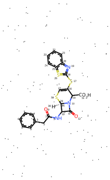 O=C(Cc1ccccc1)NC1C(=O)N2C(C(=O)O)C(Sc3nc4ccccc4s3)=CS[C@H]12